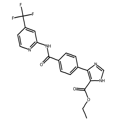 CCOC(=O)c1[nH]cnc1-c1ccc(C(=O)Nc2cc(C(F)(F)F)ccn2)cc1